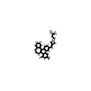 Cc1cc(F)ccc1C1=C(c2ccc(C=C3CN(CCC(F)F)C3)cc2)c2ccccc2CCC1